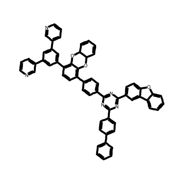 C1=CC2Oc3c(-c4ccc(-c5nc(-c6ccc(-c7ccccc7)cc6)nc(-c6ccc7oc8ccccc8c7c6)n5)cc4)ccc(-c4cc(-c5cccnc5)cc(-c5cccnc5)c4)c3OC2C=C1